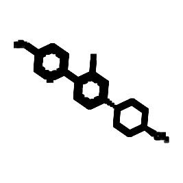 CCCc1ccc(-c2ccc([C@H]3CC[C@H](C)CC3)cc2F)nc1